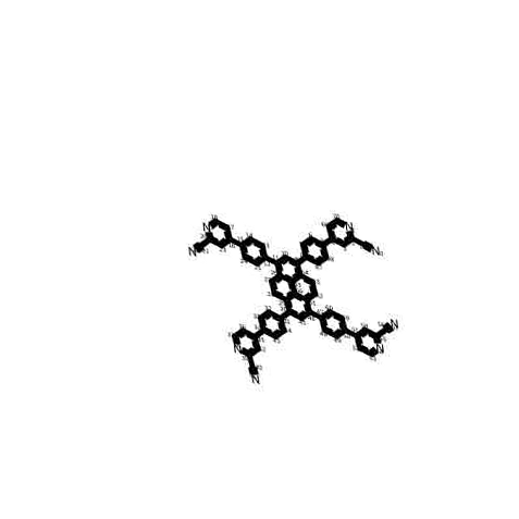 N#Cc1cc(-c2ccc(-c3cc(-c4ccc(-c5ccnc(C#N)c5)cc4)c4ccc5c(-c6ccc(-c7ccnc(C#N)c7)cc6)cc(-c6ccc(-c7ccnc(C#N)c7)cc6)c6ccc3c4c65)cc2)ccn1